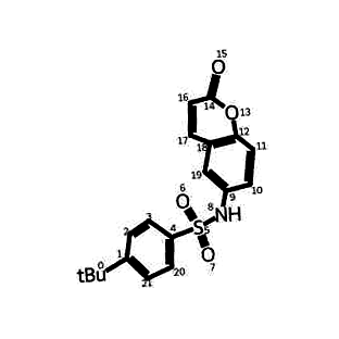 CC(C)(C)c1ccc(S(=O)(=O)Nc2ccc3oc(=O)ccc3c2)cc1